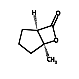 C[C@]12CCC[C@H]1C(=O)O2